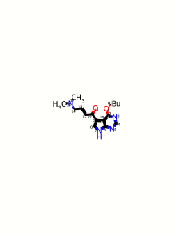 CCC(C)Oc1ncnc2[nH]cc(C(=O)C=CCN(C)C)c12